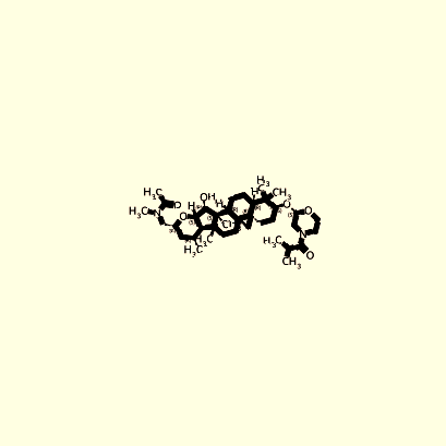 CC(=O)N(C)C[C@H]1C[C@@H](C)C2[C@H](O1)[C@H](O)[C@@]1(C)[C@@H]3CC[C@H]4C(C)(C)[C@@H](O[C@H]5CN(C(=O)C(C)C)CCO5)CC[C@@]45C[C@@]35CC[C@]21C